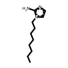 CCCCCCCCn1ccnc1N